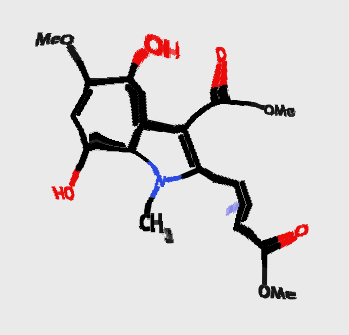 COC(=O)/C=C/c1c(C(=O)OC)c2c(O)c(OC)cc(O)c2n1C